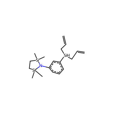 C=CC[SiH](CC=C)c1cccc(N2[Si](C)(C)CC[Si]2(C)C)c1